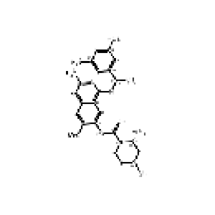 COc1cc2nc(C)nc(N[C@H](C)c3cc(C)cc(N)c3)c2cc1OC(=O)N1CCN(C)C[C@H]1C